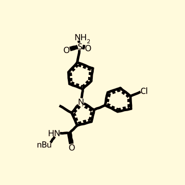 CCCCNC(=O)c1cc(-c2ccc(Cl)cc2)n(-c2ccc(S(N)(=O)=O)cc2)c1C